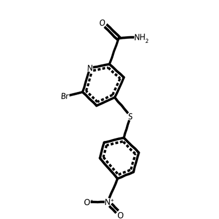 NC(=O)c1cc(Sc2ccc([N+](=O)[O-])cc2)cc(Br)n1